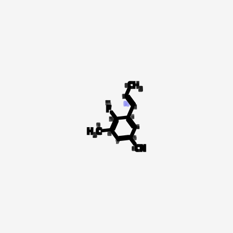 C/C=C/c1cc(C#N)cc(C)c1F